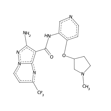 CN1CCC(Oc2ccncc2NC(=O)c2c(N)nn3ccc(C(F)(F)F)nc23)C1